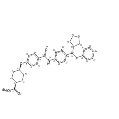 COC(=O)[C@H]1CC[C@@H](Oc2ccc(C(=O)Nc3ccc(N(Cc4ccccc4)C4CCCC4)nn3)cc2)CC1